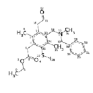 CCOC(=O)Cc1c(C)c(CC=O)c(CN(C)Cc2ccccc2)c(C)c1SI